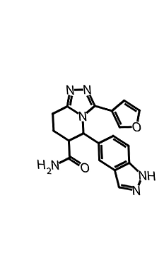 NC(=O)C1CCc2nnc(-c3ccoc3)n2C1c1ccc2[nH]ncc2c1